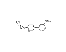 COc1cccc(-c2ccc([C@H]3C[C@@H]3N)nc2)c1